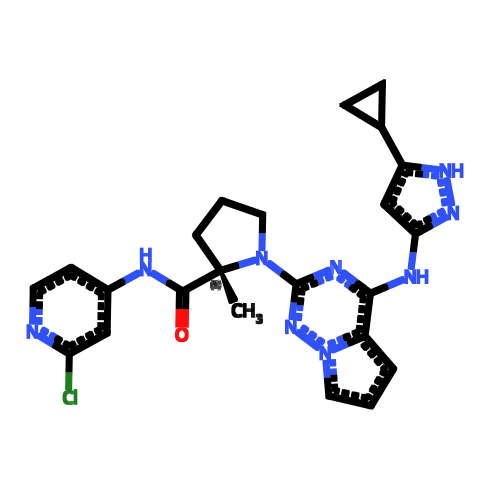 C[C@@]1(C(=O)Nc2ccnc(Cl)c2)CCCN1c1nc(Nc2cc(C3CC3)[nH]n2)c2cccn2n1